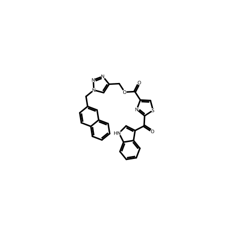 O=C(OCc1cn(Cc2ccc3ccccc3c2)nn1)c1csc(C(=O)c2c[nH]c3ccccc23)n1